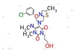 C=Nc1c(N(COc2cccc(Cl)c2)CC2=NCC(C)S2)c(=O)n(CCCO)c(=O)n1C